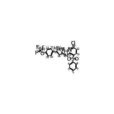 O=S(=O)(c1ccccc1)c1ccc(Cl)nc1Nc1cc(-c2ccc(OC(F)(F)F)cc2)[nH]n1